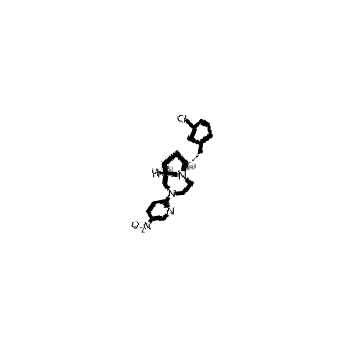 O=[N+]([O-])c1ccc(N2CCN3[C@@H](Cc4cccc(Cl)c4)CC[C@H]3C2)nc1